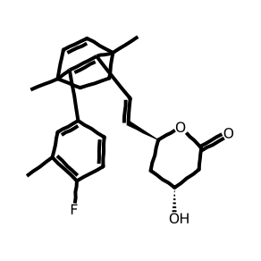 Cc1cc(C2=C(/C=C/[C@@H]3C[C@@H](O)CC(=O)O3)C3(C)C=CC2(C)CC3)ccc1F